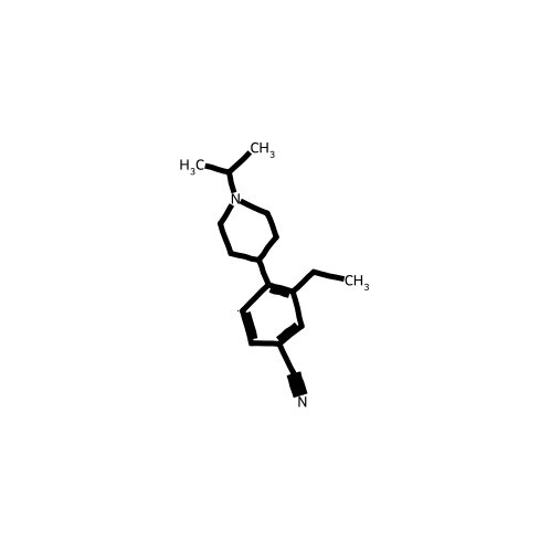 CCc1cc(C#N)c[c]c1C1CCN(C(C)C)CC1